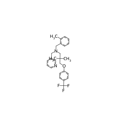 Cc1ccccc1CN(Cc1cccnc1)CC(C)(C)COc1ccc(C(F)(F)F)cc1